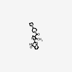 Cc1c(C(=O)N2CCC(N3CCCC3)CC2)cnn1-c1nn2cccc2c(=O)[nH]1